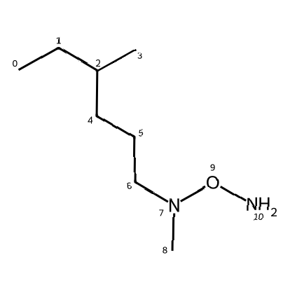 CCC(C)CCCN(C)ON